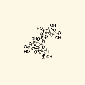 O=P(O)(O)OP(=O)(O)OP(=O)(O)OP(=O)(O)OP(=O)(OP(=O)(O)OP(=O)(O)O)OP(=O)(O)OP(=O)(O)O